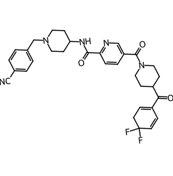 N#Cc1ccc(CN2CCC(NC(=O)c3ccc(C(=O)N4CCC(C(=O)C5=CCC(F)(F)C=C5)CC4)cn3)CC2)cc1